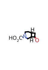 O=C1C[C@@H]2CCN(C(=O)O)C[C@H]12